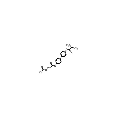 C=C(C)C(=O)Oc1ccc(-c2ccc(OC(=O)CCOC(=O)C(C)C)cc2)cc1